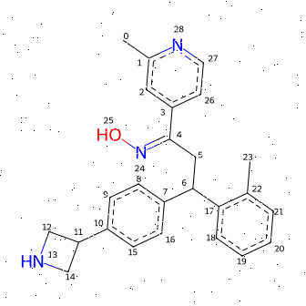 Cc1cc(C(CC(c2ccc(C3CNC3)cc2)c2ccccc2C)=NO)ccn1